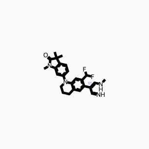 CN/C=C(\C=N)c1cc2c(cc1C(F)F)N(c1ccc3c(c1)N(C)C(=O)C3(C)C)CCC2